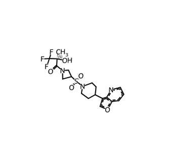 C[C@](O)(C(=O)N1CC(S(=O)(=O)N2CCC(c3coc4cccnc34)CC2)C1)C(F)(F)F